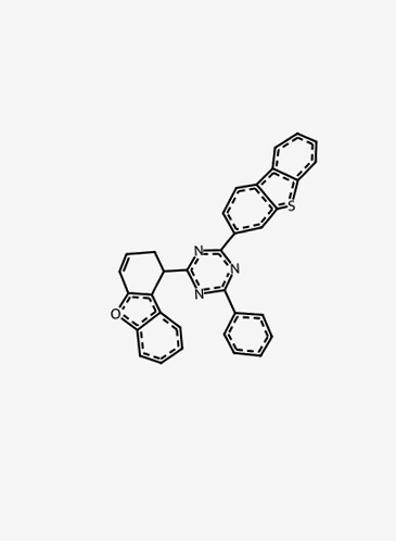 C1=Cc2oc3ccccc3c2C(c2nc(-c3ccccc3)nc(-c3ccc4c(c3)sc3ccccc34)n2)C1